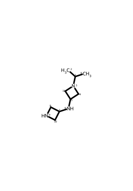 CC(C)N1CC(NC2CNC2)C1